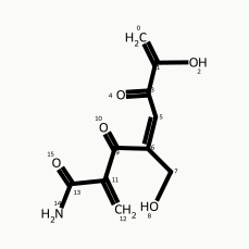 C=C(O)C(=O)C=C(CO)C(=O)C(=C)C(N)=O